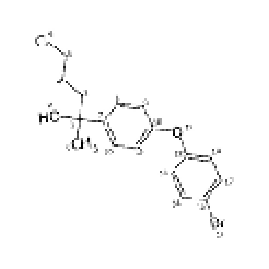 CC(O)(CCCCl)c1ccc(Oc2ccc(Br)cc2)cc1